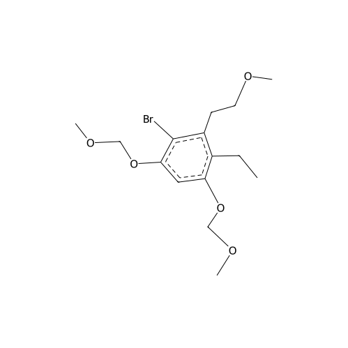 CCc1c(OCOC)cc(OCOC)c(Br)c1CCOC